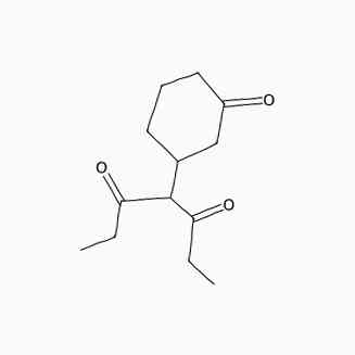 CCC(=O)C(C(=O)CC)C1CCCC(=O)C1